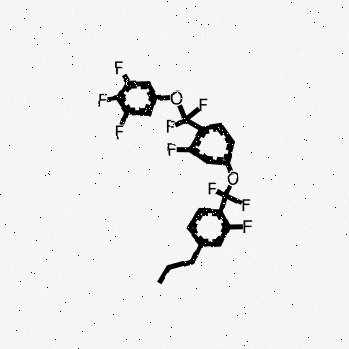 CCCc1ccc(C(F)(F)Oc2ccc(C(F)(F)Oc3cc(F)c(F)c(F)c3)c(F)c2)c(F)c1